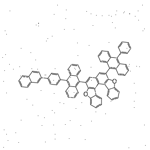 c1ccc(-c2c3ccccc3c(-c3cc4cc(-c5c6ccccc6c(-c6ccc(-c7ccc8ccccc8c7)cc6)c6ccccc56)c5oc6ccccc6c5c4c4c3oc3ccccc34)c3ccccc23)cc1